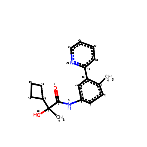 Cc1ccc(NC(=O)C(C)(O)C2CCC2)cc1-c1ccccn1